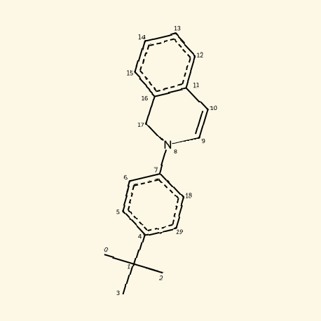 CC(C)(C)c1ccc(N2C=Cc3ccccc3C2)cc1